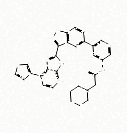 O=C(CC1CCCCC1)Nc1cncc(-c2ccc3[nH]nc(-c4nc5c(-c6ccoc6)ccnc5[nH]4)c3c2)c1